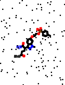 COC(=O)CCC(C(N)=O)c1nn(C)c2cc(OCCOS(=O)(=O)c3ccc(C)cc3)ccc12